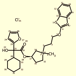 C[N+]1(CCCOc2nc3ccccc3s2)CC[C@@H](OC(=O)C(O)(c2ccco2)C2CCCCC2)C1.[Cl-]